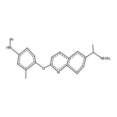 CC(=O)NC(C)c1ccc2nc(Oc3ccc(NC(C)C)cc3C)ccc2c1